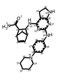 NC(=O)C1C2C=CC(C2)C1Nc1nc(Nc2ccc(N3CCCCC3)cc2)nc2c1CCN2